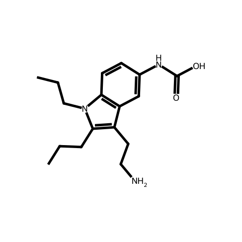 CCCc1c(CCN)c2cc(NC(=O)O)ccc2n1CCC